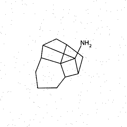 NC12C3CC4CC1C1CCCC3C412